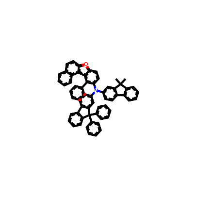 CC1(C)c2ccccc2-c2ccc(N(c3ccc4c(c3)C(c3ccccc3)(c3ccccc3)c3ccccc3-4)c3ccc4oc5ccc6ccccc6c5c4c3-c3ccccc3)cc21